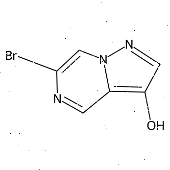 Oc1cnn2cc(Br)ncc12